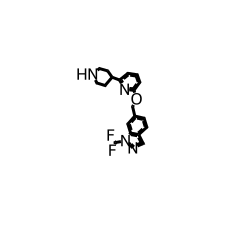 FC(F)n1ncc2ccc(COc3cccc(C4CCNCC4)n3)cc21